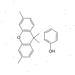 Cc1ccc2c(c1)Oc1cc(C)ccc1C2(C)C.Oc1ccccc1